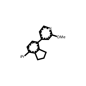 COc1cc(-c2ccc(C(C)C)c3c2CCC3)ccn1